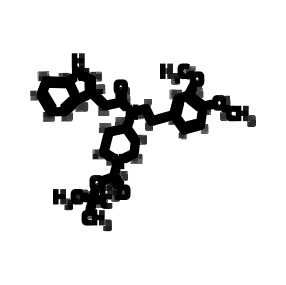 COc1ccc(CCN(C(=O)Cc2c[nH]c3ccccc23)C2CCN(C(=O)OC(C)(C)C)CC2)cc1OC